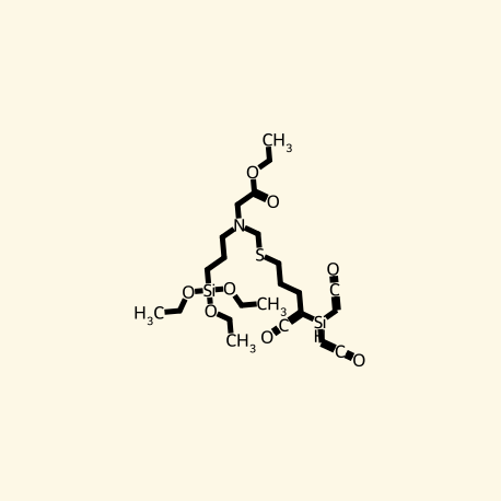 CCOC(=O)CN(CCC[Si](OCC)(OCC)OCC)CSCCCC(=C=O)[SiH](C=C=O)C=C=O